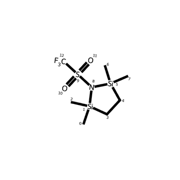 C[Si]1(C)CC[Si](C)(C)N1S(=O)(=O)C(F)(F)F